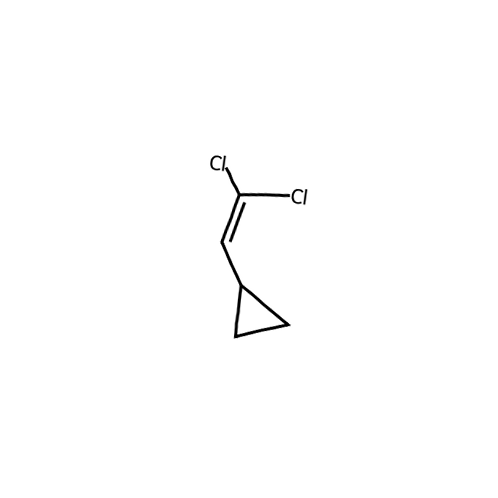 ClC(Cl)=CC1CC1